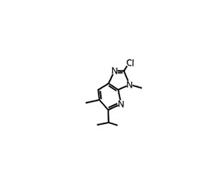 Cc1cc2nc(Cl)n(C)c2nc1C(C)C